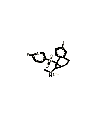 CNC1C2CCc3cc(I)ccc3C21S(=O)(=O)c1ccc(F)cc1.Cl